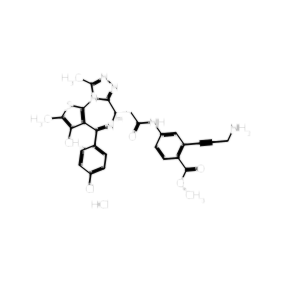 COC(=O)c1ccc(NC(=O)C[C@@H]2N=C(c3ccc(Cl)cc3)c3c(sc(C)c3C)-n3c(C)nnc32)cc1C#CCN.Cl